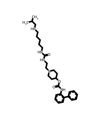 CC(C)CNCCCCCNC(=O)NCCN1CCC(OC(=O)Nc2ccccc2-c2ccccc2)CC1